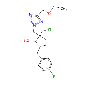 CCOCc1ncn(CC2(CCl)CCC(Cc3ccc(F)cc3)C2O)n1